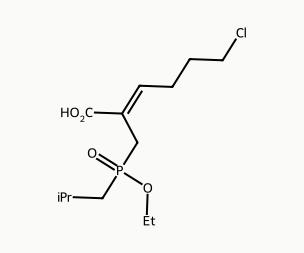 CCOP(=O)(C/C(=C\CCCCl)C(=O)O)CC(C)C